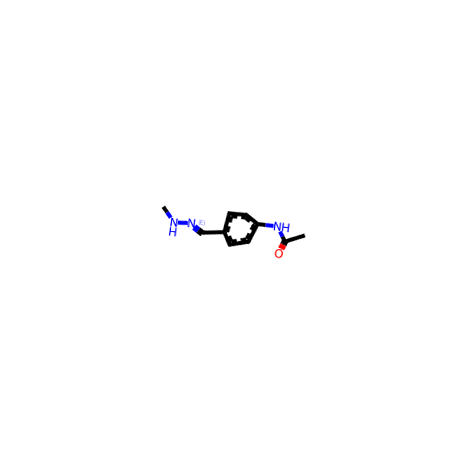 CN/N=[C]/c1ccc(NC(C)=O)cc1